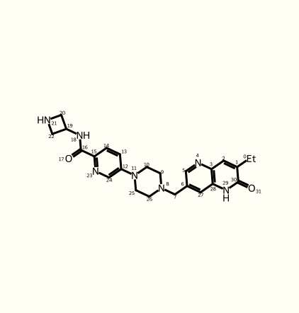 CCc1cc2ncc(CN3CCN(c4ccc(C(=O)NC5CNC5)nc4)CC3)cc2[nH]c1=O